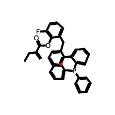 C=C(CC)C(=O)Oc1c(F)cccc1Cc1ccccc1-c1ccccc1P(c1ccccc1)c1ccccc1